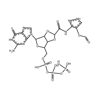 Nc1nc2c(ncn2C2OC(COP(=O)(O)OP(=O)(O)OP(=O)(O)O)C3OC(C(=O)Nc4n[nH]cc4OC=O)OC32)c(=S)[nH]1